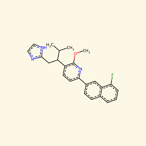 COc1nc(-c2ccc3cccc(F)c3c2)ccc1C(Cc1ncc[nH]1)C(C)C